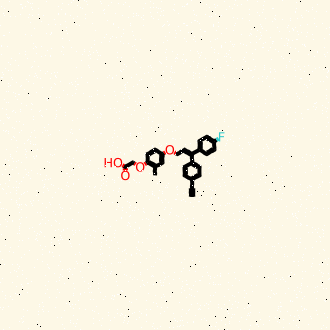 C#Cc1ccc(/C(=C\COc2ccc(OCC(=O)O)c(C)c2)c2ccc(F)cc2)cc1